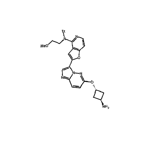 CCN(CCOC)c1nccc2oc(-c3cnc4ccc(O[C@H]5C[C@H](N)C5)nn34)cc12